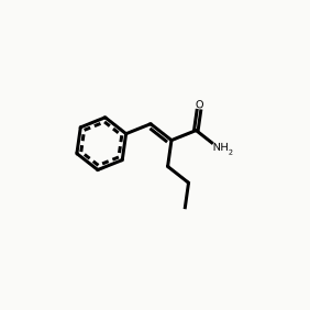 CCC/C(=C\c1ccccc1)C(N)=O